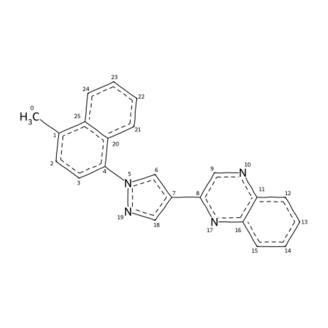 Cc1ccc(-n2cc(-c3cnc4ccccc4n3)cn2)c2ccccc12